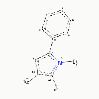 CCn1c(-c2ccccc2)cc(C(C)=O)c1C